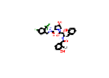 Cc1c(O)cccc1C(=O)N[C@@H](Cc1ccccc1)[C@H](O)C(=O)N1C[C@H](O)C[C@H]1C(=O)NCc1ccc(F)cc1C(F)(F)F